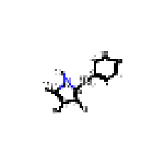 Cc1c(C)[c]([Ru][C]2=CC=CCC2)n(C)c1C